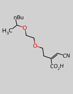 CCCCC(C)OCCOCCC(=CC#N)C(=O)O